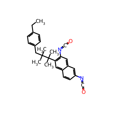 CCc1ccc(CC(C)(C)C(C)(C)c2cc3ccc(N=C=O)cc3cc2N=C=O)cc1